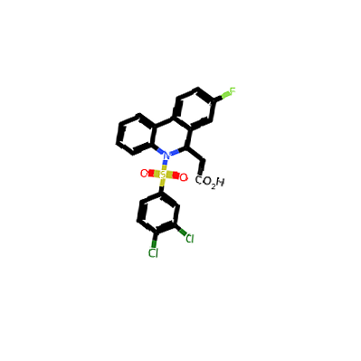 O=C(O)CC1c2cc(F)ccc2-c2ccccc2N1S(=O)(=O)c1ccc(Cl)c(Cl)c1